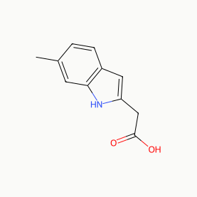 Cc1ccc2cc(CC(=O)O)[nH]c2c1